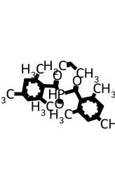 C=CC.Cc1cc(C)c(C(=O)[PH](=O)C(=O)c2c(C)cc(C)cc2C)c(C)c1